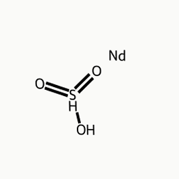 O=[SH](=O)O.[Nd]